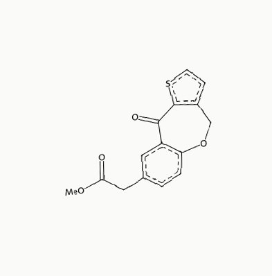 COC(=O)Cc1ccc2c(c1)C(=O)c1sccc1CO2